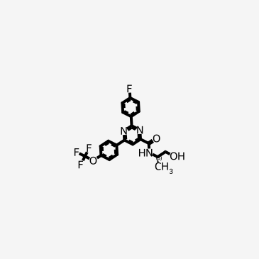 C[C@@H](CO)NC(=O)c1cc(-c2ccc(OC(F)(F)F)cc2)nc(-c2ccc(F)cc2)n1